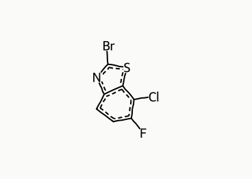 Fc1ccc2nc(Br)sc2c1Cl